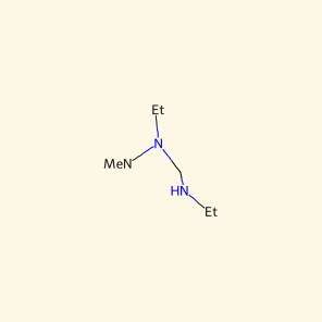 CCNCN(CC)NC